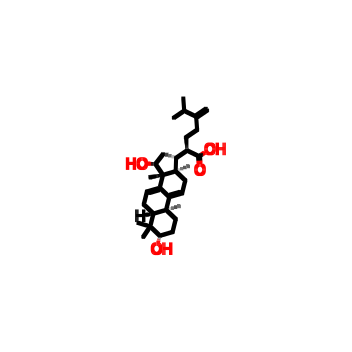 C=C(CC[C@@H](C(=O)O)[C@H]1C[C@H](O)[C@@]2(C)C3=CC[C@H]4C(C)(C)[C@@H](O)CC[C@]4(C)C3=CC[C@]12C)C(C)C